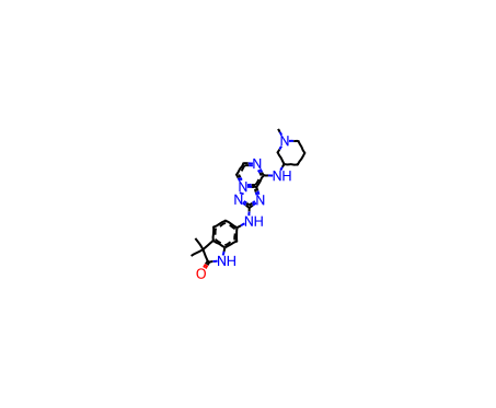 CN1CCCC(Nc2nccn3nc(Nc4ccc5c(c4)NC(=O)C5(C)C)nc23)C1